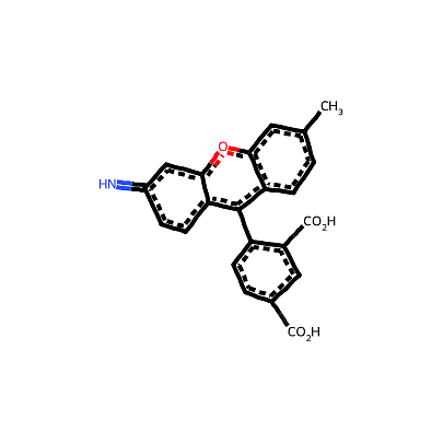 Cc1ccc2c(-c3ccc(C(=O)O)cc3C(=O)O)c3ccc(=N)cc-3oc2c1